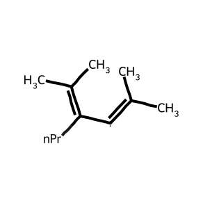 CCCC([C]=C(C)C)=C(C)C